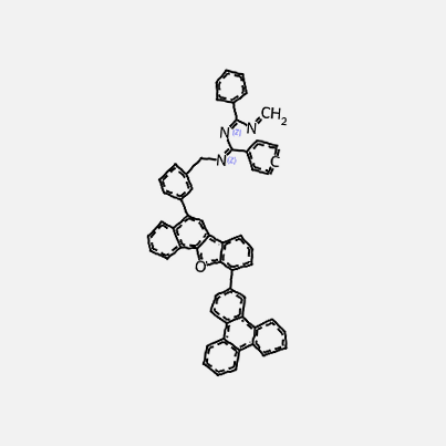 C=N/C(=N\C(=N/Cc1cccc(-c2cc3c4cccc(-c5ccc6c7ccccc7c7ccccc7c6c5)c4oc3c3ccccc23)c1)c1ccccc1)c1ccccc1